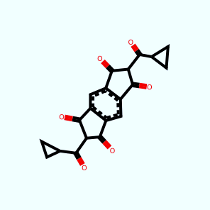 O=C1c2cc3c(cc2C(=O)C1C(=O)C1CC1)C(=O)C(C(=O)C1CC1)C3=O